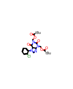 CC(C)(C)C(=O)OCN1C(=O)C2C(N=CN2c2ccccc2Cl)N(COC(=O)C(C)(C)C)C1=O